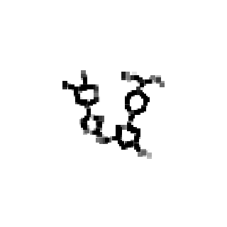 Cc1cc(Nc2ncn(-c3ccc(F)c(F)c3)n2)cc(N2CCN(C(C)C)CC2)c1